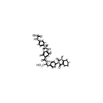 Cn1c2c(c(=O)n(-c3ccc(C[C@H](NC(=O)c4cc(F)c(NS(=O)(=O)c5ccc(NC(=O)C(C)(C)C)cc5)cc4F)C(=O)O)cn3)c1=O)CCCC2